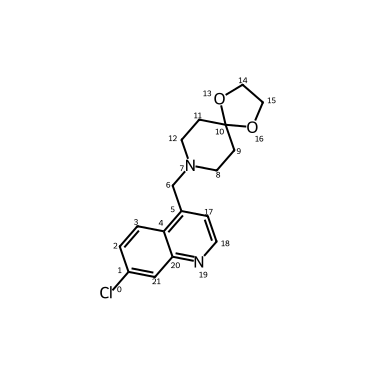 Clc1ccc2c(CN3CCC4(CC3)OCCO4)ccnc2c1